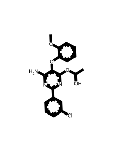 COc1ccccc1Oc1c(N)nc(-c2cccc(Cl)c2)nc1OC(C)O